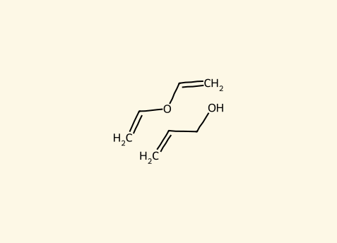 C=CCO.C=COC=C